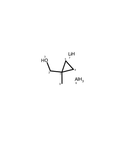 CC1(CO)CC1.[AlH3].[LiH]